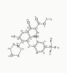 CCOC(=O)c1c[nH]c2c(Cc3ccc(C(F)(F)F)cc3)c(N3CCOCC3)c(F)cc2c1=O